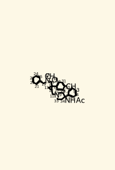 CC(=O)NC1(c2ccccc2)CCN(CC2CC2(C(=O)N(C)Cc2ccccc2)c2ccc(C)cc2)CC1